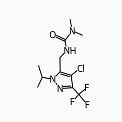 CC(C)n1nc(C(F)(F)F)c(Cl)c1CNC(=O)N(C)C